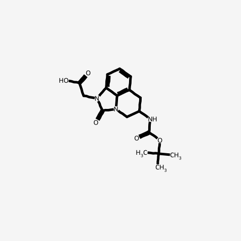 CC(C)(C)OC(=O)NC1Cc2cccc3c2n(c(=O)n3CC(=O)O)C1